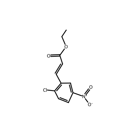 CCOC(=O)/C=C/c1cc([N+](=O)[O-])ccc1Cl